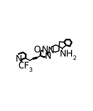 Cn1c(N2CCC3(CC2)Cc2ccccc2[C@H]3N)ncc(C#CCc2cccnc2C(F)(F)F)c1=O